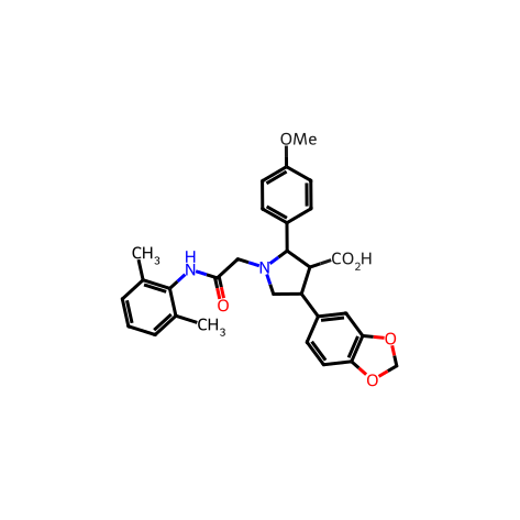 COc1ccc(C2C(C(=O)O)C(c3ccc4c(c3)OCO4)CN2CC(=O)Nc2c(C)cccc2C)cc1